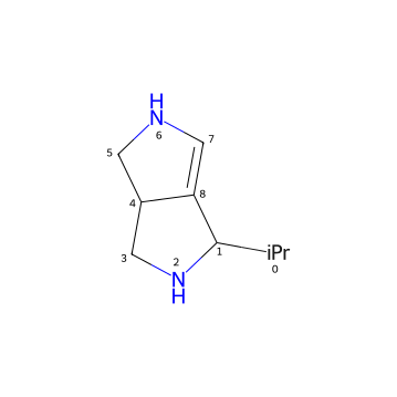 CC(C)C1NCC2CNC=C21